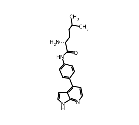 CC(C)CC[C@@H](N)C(=O)Nc1ccc(-c2ccnc3[nH]ccc23)cc1